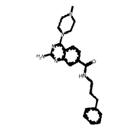 CN1CCN(c2nc(N)nc3cc(C(=O)NCCCc4ccccc4)ccc23)CC1